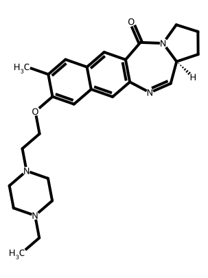 CCN1CCN(CCOc2cc3cc4c(cc3cc2C)C(=O)N2CCC[C@H]2C=N4)CC1